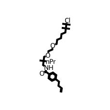 C=CCCc1ccc(C(=O)NCC(C)(CCC)COCCOCCCCCC(C)(C)C(C)(C)Cl)cc1